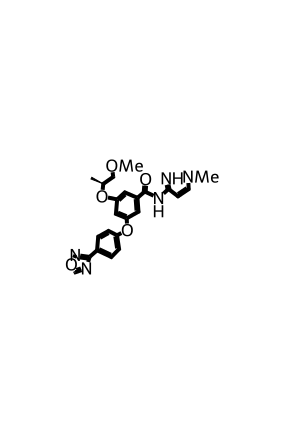 CN/C=C\C(=N)NC(=O)c1cc(Oc2ccc(-c3ncon3)cc2)cc(O[C@@H](C)COC)c1